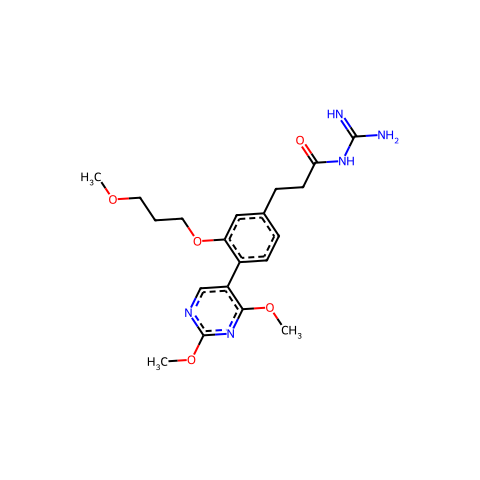 COCCCOc1cc(CCC(=O)NC(=N)N)ccc1-c1cnc(OC)nc1OC